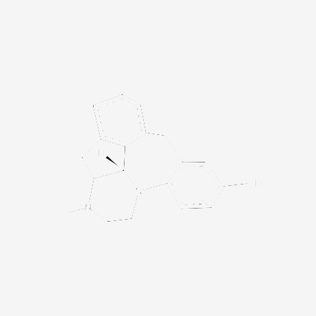 Cc1ccc2c(c1)Cc1cccc3c1[C@H]1[C@H](C3)N(C)CCN21